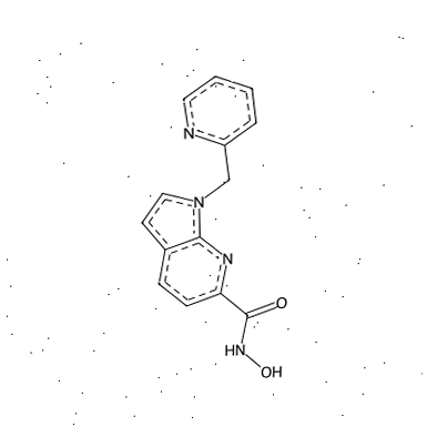 O=C(NO)c1ccc2ccn(Cc3ccccn3)c2n1